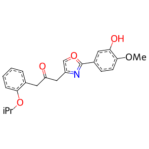 COc1ccc(-c2nc(CC(=O)Cc3ccccc3OC(C)C)co2)cc1O